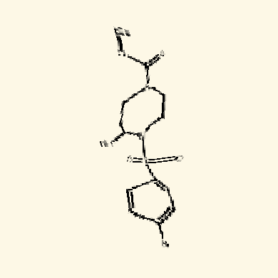 CCCC1CN(C(=O)OC(C)(C)C)CCN1S(=O)(=O)c1ccc(Br)cc1